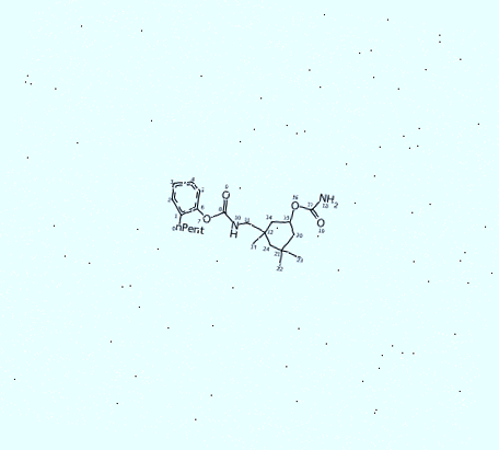 CCCCCc1ccccc1OC(=O)NCC1(C)CC(OC(N)=O)CC(C)(C)C1